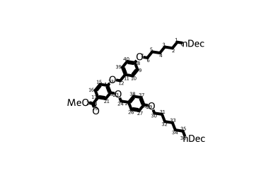 CCCCCCCCCCCCCCCCOc1ccc(COc2ccc(C(=O)OC)cc2OCc2ccc(OCCCCCCCCCCCCCCCC)cc2)cc1